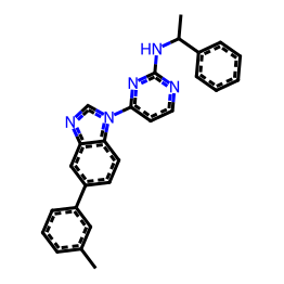 Cc1cccc(-c2ccc3c(c2)ncn3-c2ccnc(NC(C)c3ccccc3)n2)c1